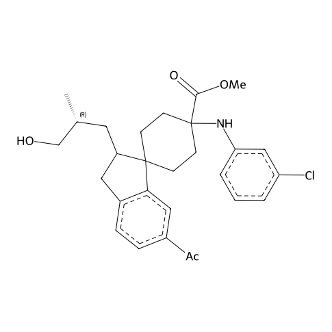 COC(=O)C1(Nc2cccc(Cl)c2)CCC2(CC1)c1cc(C(C)=O)ccc1CC2C[C@@H](C)CO